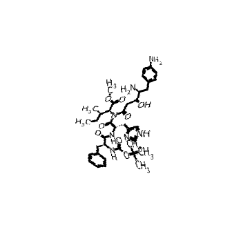 CC[C@@H](C)[C@@H](C(=O)OC)N(C(=O)CC(O)[C@@H](N)Cc1ccc(N)cc1)C(=O)[C@H](Cc1c[nH]cn1)NC(=O)[C@H](Cc1ccccc1)NC(=O)OC(C)(C)C